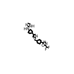 FC(F)c1nnc(-c2ccc(Cn3cc(-c4ccc(NC5=NCCN5)cc4)cn3)cc2)o1